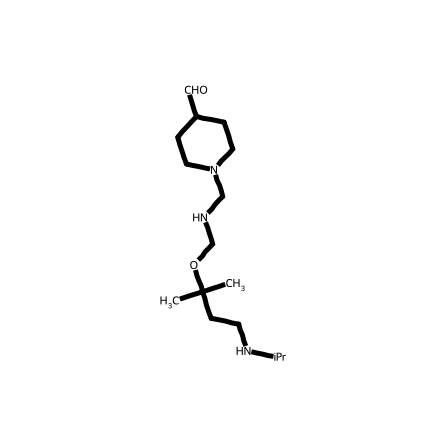 CC(C)NCCC(C)(C)OCNCN1CCC(C=O)CC1